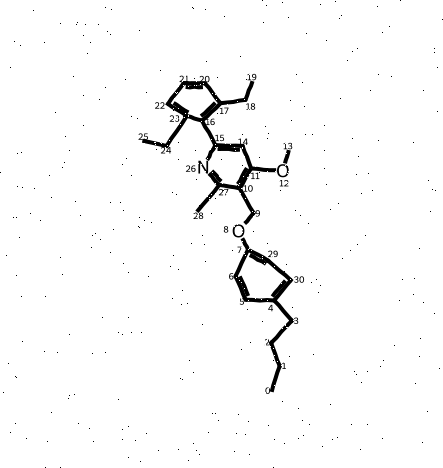 CCCCc1ccc(OCc2c(OC)cc(-c3c(CC)cccc3CC)nc2C)cc1